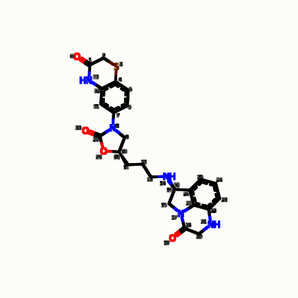 O=C1CSc2ccc(N3C[C@@H](CCCN[C@@H]4CN5C(=O)CNc6cccc4c65)OC3=O)cc2N1